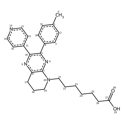 Cc1ccc(-c2nc3c(nc2-c2ccncc2)CCCN3CCCCCCC(=O)O)cc1